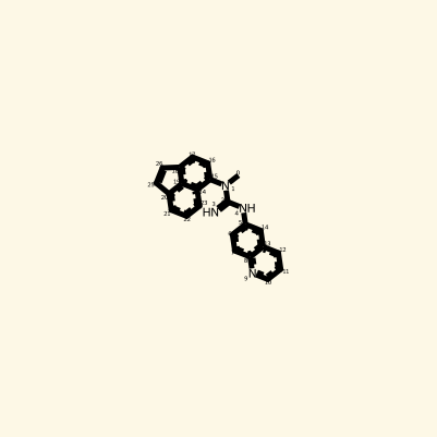 CN(C(=N)Nc1ccc2ncccc2c1)c1ccc2c3c(cccc13)C=C2